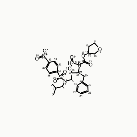 CC(C)CN(C[C@H]1O[PH](=O)N(C(=O)O[C@H]2CCOC2)[C@H]1Cc1ccccc1)S(=O)(=O)c1ccc([N+](=O)[O-])cc1